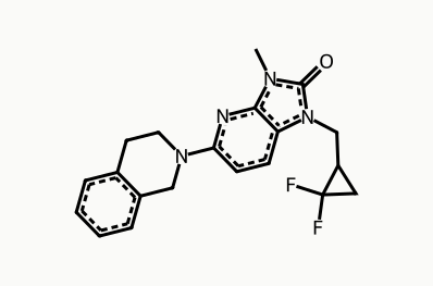 Cn1c(=O)n(CC2CC2(F)F)c2ccc(N3CCc4ccccc4C3)nc21